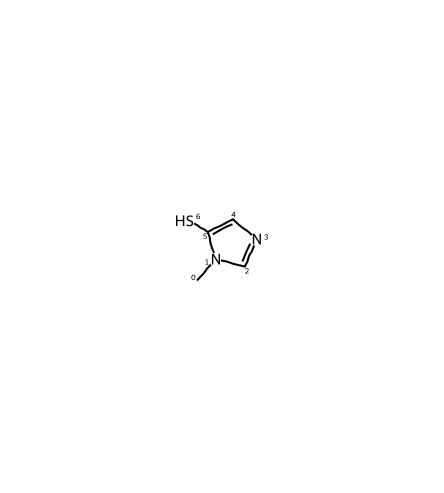 Cn1cncc1S